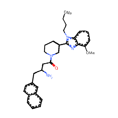 COCCCn1c(C2CCCN(C(=O)CC(N)Cc3ccc4ccccc4c3)C2)nc2c(OC)cccc21